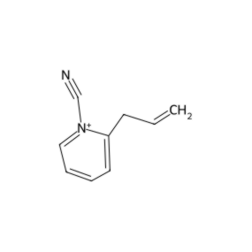 C=CCc1cccc[n+]1C#N